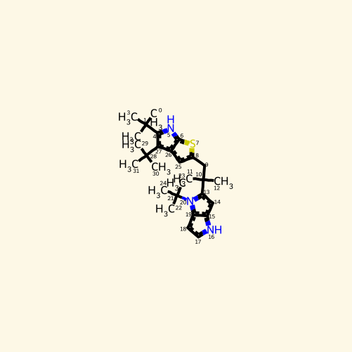 CC(C)(C)c1[nH]c2sc(CC(C)(C)c3cc4[nH]ccc4n3C(C)(C)C)cc2c1C(C)(C)C